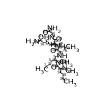 CCCC[C@@H](CN[C@@H](CC(C)C)C(=O)N[C@@H](CSCC(N)=O)C(=O)NCC(N)=O)N(C)C(=O)[C@H](CCCC)NC